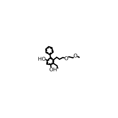 CCc1c(O)cc(O)c(-c2ccccc2)c1CCCOCCOC